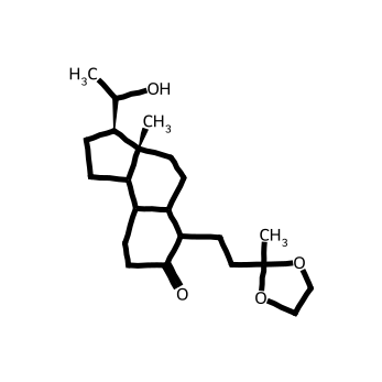 CC(O)[C@@H]1CCC2C3CCC(=O)C(CCC4(C)OCCO4)C3CC[C@]21C